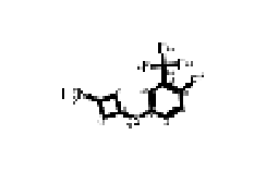 NC1CC(Sc2ccc(F)c(C(F)(F)F)c2)C1